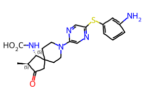 C[C@@H]1C(=O)CC2(CCN(c3cnc(Sc4cccc(N)c4)cn3)CC2)[C@H]1NC(=O)O